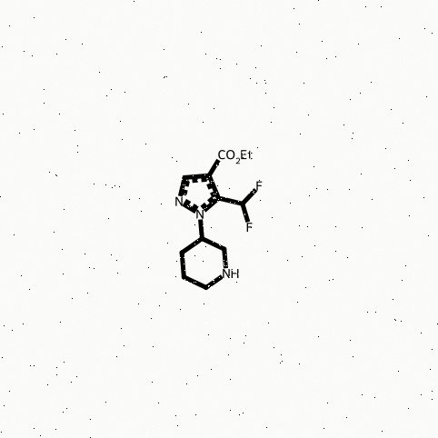 CCOC(=O)c1cnn(C2CCCNC2)c1C(F)F